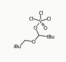 CCC(C)COC([O][V](=[O])([Cl])([Cl])[Cl])C(C)(C)C